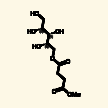 COC(=O)CCC(=O)OC[C@H](O)[C@@H](O)[C@H](O)CO